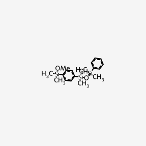 CO[Si](C)(C)c1ccc([Si](C)(C)O[Si](C)(C)c2ccccc2)cc1